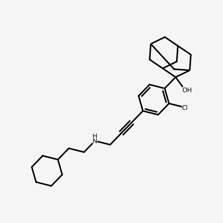 OC1(c2ccc(C#CCNCCC3CCCCC3)cc2Cl)C2CC3CC(C2)CC1C3